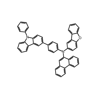 c1ccc(-n2c3ccccc3c3cc(-c4ccc(N(c5ccc6oc7ccccc7c6c5)c5cc6ccccc6c6ccccc56)cc4)ccc32)cc1